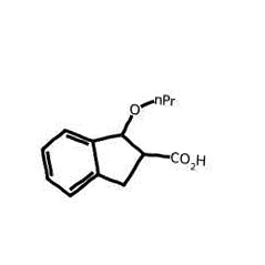 CCCOC1c2ccccc2CC1C(=O)O